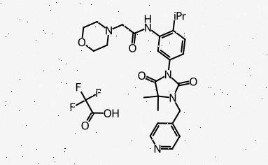 CC(C)c1ccc(N2C(=O)N(Cc3ccncc3)C(C)(C)C2=O)cc1NC(=O)CN1CCOCC1.O=C(O)C(F)(F)F